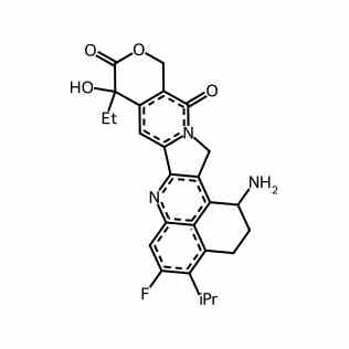 CCC1(O)C(=O)OCc2c1cc1n(c2=O)Cc2c-1nc1cc(F)c(C(C)C)c3c1c2C(N)CC3